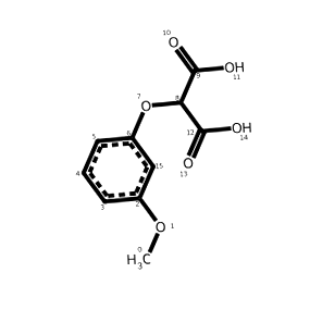 COc1cccc(OC(C(=O)O)C(=O)O)c1